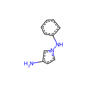 Nc1ccn(Nc2ccccc2)c1